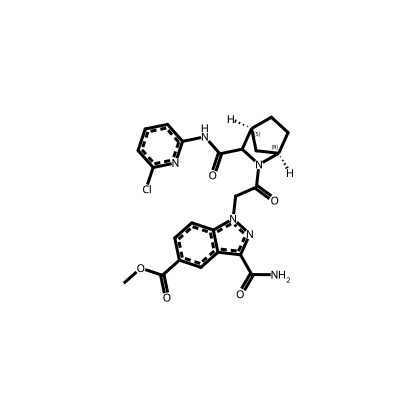 COC(=O)c1ccc2c(c1)c(C(N)=O)nn2CC(=O)N1C(C(=O)Nc2cccc(Cl)n2)[C@H]2CC[C@@H]1C2